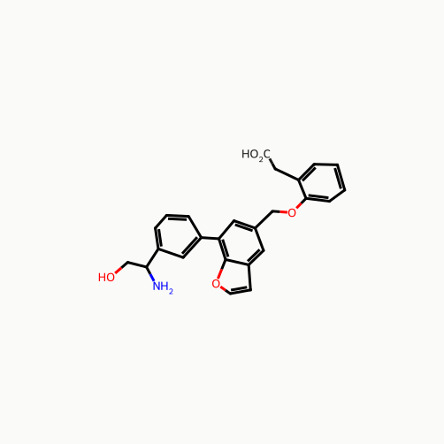 NC(CO)c1cccc(-c2cc(COc3ccccc3CC(=O)O)cc3ccoc23)c1